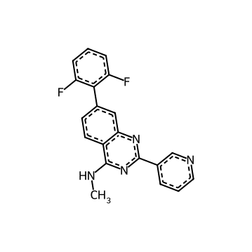 CNc1nc(-c2cccnc2)nc2cc(-c3c(F)cccc3F)ccc12